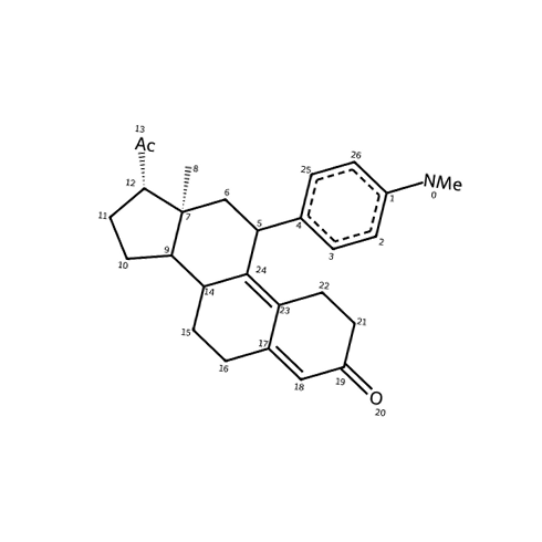 CNc1ccc(C2C[C@@]3(C)C(CC[C@@H]3C(C)=O)C3CCC4=CC(=O)CCC4=C23)cc1